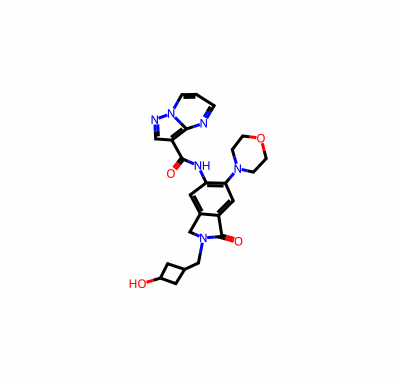 O=C(Nc1cc2c(cc1N1CCOCC1)C(=O)N(CC1CC(O)C1)C2)c1cnn2cccnc12